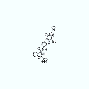 CCC(=O)N[C@H](Cc1ccc(NC(=O)[C@@H](NC(=O)c2ccnn2C)C2CCCCC2)cc1)C(=O)NCCN1CCC1